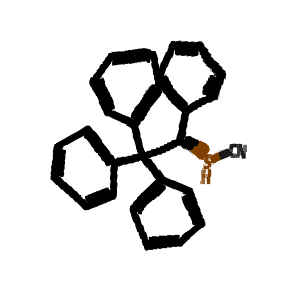 N#C[SH]=C(c1ccccc1)C(c1ccccc1)(c1ccccc1)c1ccccc1